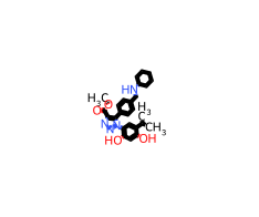 COC(=O)c1nnn(-c2cc(C(C)C)c(O)cc2O)c1-c1ccc(CNC2CCCCC2)cc1